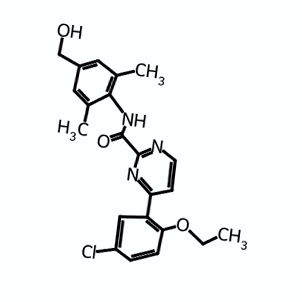 CCOc1ccc(Cl)cc1-c1ccnc(C(=O)Nc2c(C)cc(CO)cc2C)n1